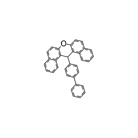 c1ccc(-c2ccc(C3c4c(ccc5ccccc45)Oc4ccc5ccccc5c43)cc2)cc1